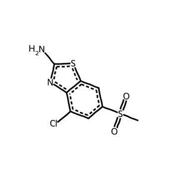 CS(=O)(=O)c1cc(Cl)c2nc(N)sc2c1